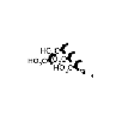 CC=C(C)C(=O)O.CC=C(C)C(=O)O.CC=C(C)C(=O)O.CC=C(C)C(=O)O.[SiH4]